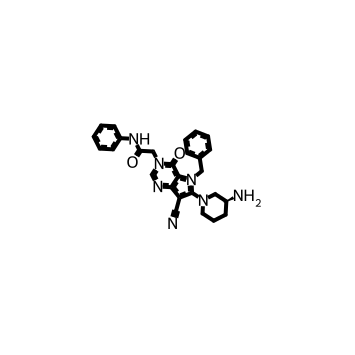 N#Cc1c(N2CCC[C@H](N)C2)n(Cc2ccccc2)c2c(=O)n(CC(=O)Nc3ccccc3)cnc12